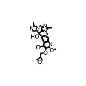 COc1nc2ccc(C(O)(c3cnc(C)n3C)C3CN=C(C)N3C)cc2c(Cl)c1OCC1COC1